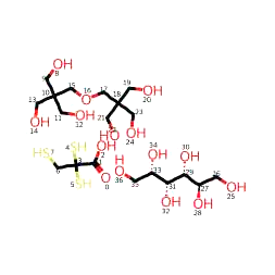 O=C(O)C(S)(S)CS.OCC(CO)(CO)COCC(CO)(CO)CO.OC[C@@H](O)[C@@H](O)[C@H](O)[C@@H](O)CO